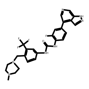 CN1CCN(Cc2ccc(NC(=O)Nc3ccc(-c4cncc5[nH]ncc45)cc3F)cc2C(F)(F)F)CC1